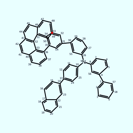 c1ccc(-c2cccc(N(c3ccc(-c4ccc5ccccc5c4)cc3)c3cccc(-c4cccc(-c5cccc6ccc7ccc8ccccc8c7c56)c4)c3)c2)cc1